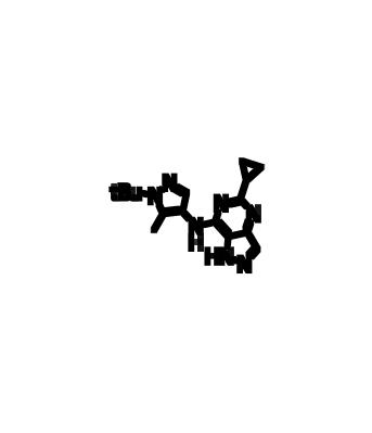 Cc1c(Nc2nc(C3CC3)nc3cn[nH]c23)cnn1C(C)(C)C